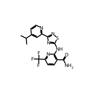 CC(C)c1ccnc(-c2nsc(Nc3nc(C(F)(F)F)ccc3C(N)=O)n2)c1